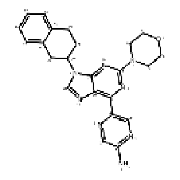 Nc1cnc(-c2nc(N3CCOCC3)nc3c2ncn3C2CCc3ccccc3C2)cn1